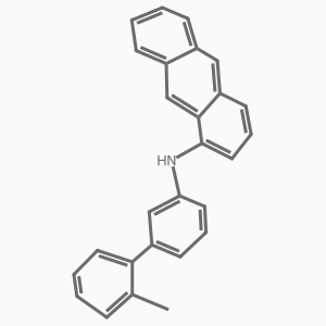 Cc1ccccc1-c1cccc(Nc2cccc3cc4ccccc4cc23)c1